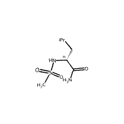 CC(C)C[C@@H](NS(C)(=O)=O)C(N)=O